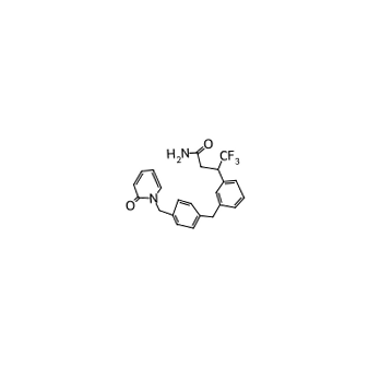 NC(=O)CC(c1cccc(Cc2ccc(Cn3ccccc3=O)cc2)c1)C(F)(F)F